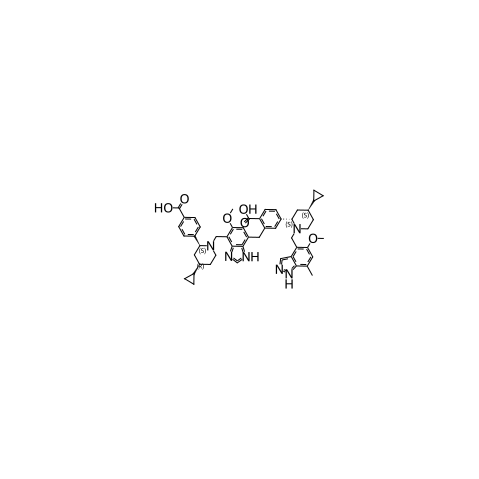 COc1cc(C)c2[nH]ncc2c1CN1CC[C@H](C2CC2)C[C@H]1c1ccc(C(=O)O)c(Cc2cc(OC)c(CN3CC[C@@H](C4CC4)C[C@H]3c3ccc(C(=O)O)cc3)c3nc[nH]c23)c1